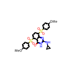 COc1ccc(S(=O)(=O)c2ccc(S(=O)(=O)c3ccc(OC)cc3)c3c(=O)[nH]c(NC4CC4)nc23)cc1